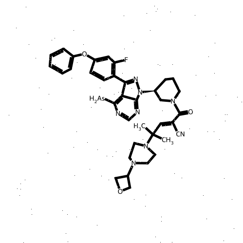 CC(C)(C=C(C#N)C(=O)N1CCC[C@H](n2nc(-c3ccc(Oc4ccccc4)cc3F)c3c([AsH2])ncnc32)C1)N1CCN(C2COC2)CC1